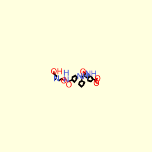 COC(=O)c1ccc2c(c1)NC(=O)/C2=C(\Nc1ccc(C(=O)NOCCN(C)CCO)cc1)c1ccccc1